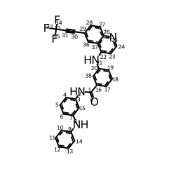 O=C(Nc1cccc(Nc2ccccc2)c1)c1cccc(Nc2ccnc3ccc(C#CC(F)(F)F)cc23)c1